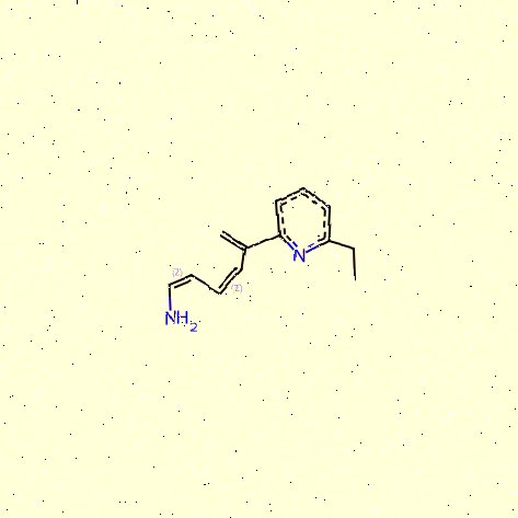 C=C(/C=C\C=C/N)c1cccc(CC)n1